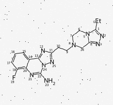 CCc1nnc2n1CCN(CCc1nc3c4cccc(F)c4nc(N)n3n1)C2